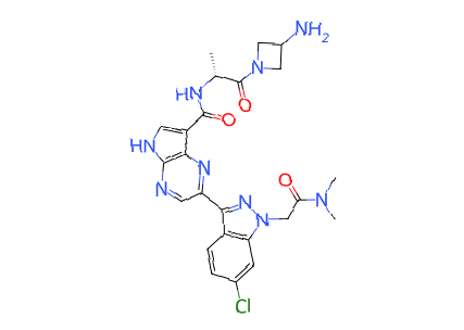 C[C@@H](NC(=O)c1c[nH]c2ncc(-c3nn(CC(=O)N(C)C)c4cc(Cl)ccc34)nc12)C(=O)N1CC(N)C1